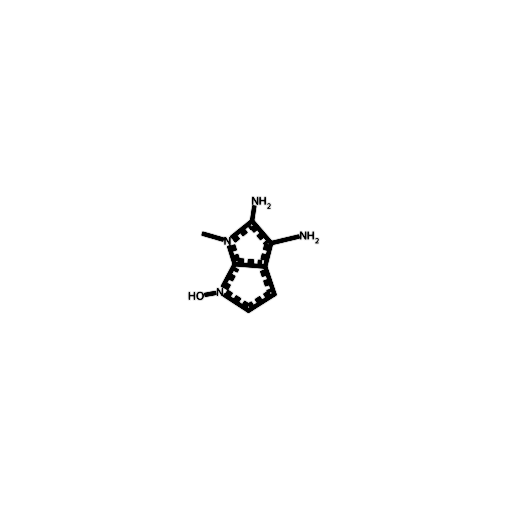 Cn1c(N)c(N)c2ccn(O)c21